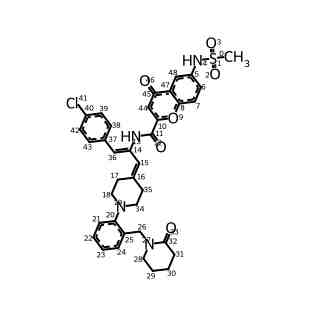 CS(=O)(=O)Nc1ccc2oc(C(=O)N/C(C=C3CCN(c4ccccc4CN4CCCCC4=O)CC3)=C\c3ccc(Cl)cc3)cc(=O)c2c1